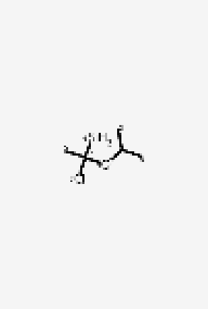 CC(C)OC(C)([SiH3])Cl